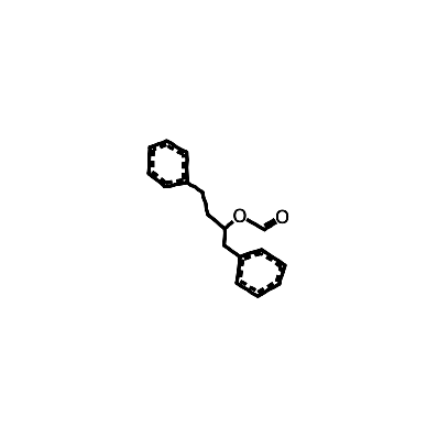 O=COC(CCc1ccccc1)Cc1ccccc1